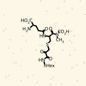 CCCCCCNC(=O)C(=O)CSCC(NC(=O)CCC(N)C(=O)O)C(=O)N(C)C(=O)O